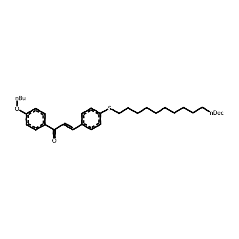 CCCCCCCCCCCCCCCCCCCCSc1ccc(C=CC(=O)c2ccc(OCCCC)cc2)cc1